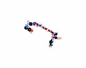 Cc1ncsc1-c1ccc(CNC(=O)[C@@H]2C[C@@H](O)CN2C(=O)[C@@H](NC(=O)CCOCCOCCOCCOCCNC(=O)CN2CCN(c3ccc(Nc4nc5cccc(-c6ccc(S(C)(=O)=O)cc6)n5n4)cc3)CC2)C(C)(C)C)cc1